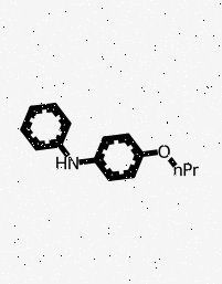 CCCOc1ccc(Nc2ccccc2)cc1